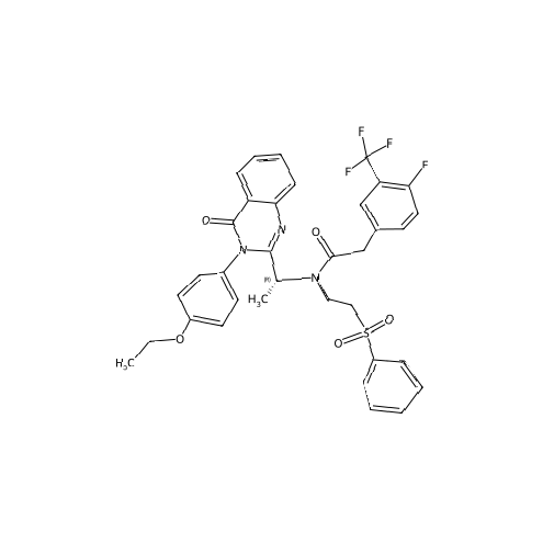 CCOc1ccc(-n2c([C@@H](C)N(CCS(=O)(=O)c3ccccc3)C(=O)Cc3ccc(F)c(C(F)(F)F)c3)nc3ccccc3c2=O)cc1